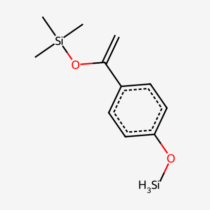 C=C(O[Si](C)(C)C)c1ccc(O[SiH3])cc1